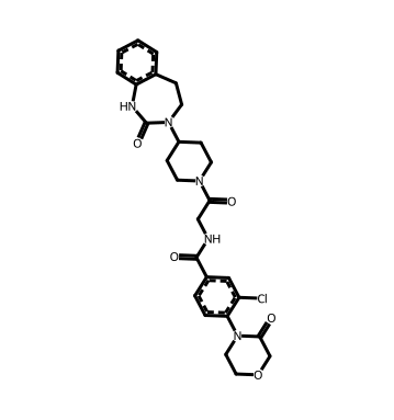 O=C(NCC(=O)N1CCC(N2CCc3ccccc3NC2=O)CC1)c1ccc(N2CCOCC2=O)c(Cl)c1